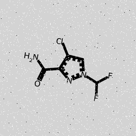 NC(=O)c1nn(C(F)F)cc1Cl